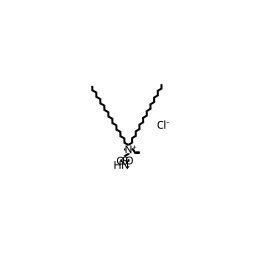 C=CC[N+](C)(CCS(=O)(=O)NC)C(CCCCCCCCCCCCCCCCCC)CCCCCCCCCCCCCCCCCC.[Cl-]